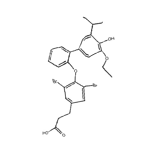 CCOc1cc(-c2ccccc2Oc2c(Br)cc(CCC(=O)O)cc2Br)cc(C(C)C)c1O